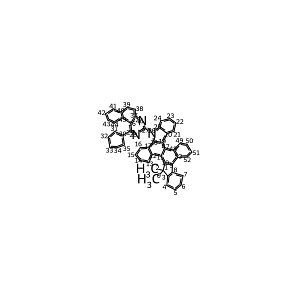 CC1(C)c2ccccc2-c2c1c1c3ccccc3c3c(c4ccccc4n3-c3nc(-c4ccccc4)c4c(ccc5ccccc54)n3)c1c1ccccc21